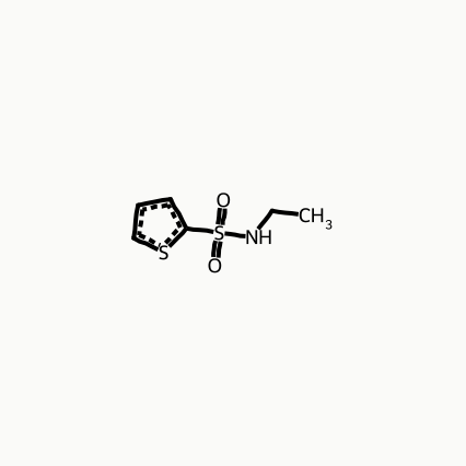 CCNS(=O)(=O)c1cccs1